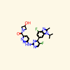 Cc1nc2c(F)cc(-c3nc(Nc4ccc(C(=O)N5CC(O)C5)nn4)ncc3F)cc2n1C(C)C